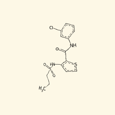 CCCS(=O)(=O)Nc1ccsc1C(=O)Nc1cccc(Cl)c1